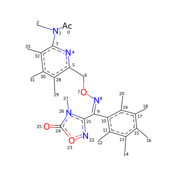 CC(=O)N(C)c1nc(CON=C(c2c(C)c(C)c(C)c(C)c2C)c2noc(=O)n2C)c(C)c(C)c1C